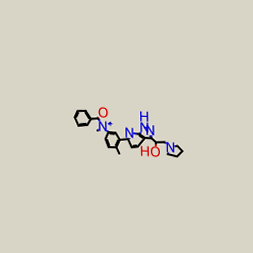 Cc1ccc([N+](C)(C)C(=O)c2ccccc2)cc1-c1ccc2c(C(O)CN3CCCC3)n[nH]c2n1